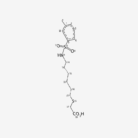 Cc1cccc(S(=O)(=O)NCCCCCCSCC(=O)O)c1